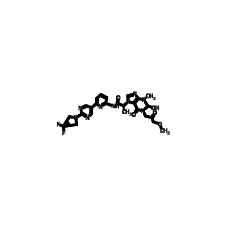 COCC(=O)CN1C(=O)c2c(ncn2[C@@H](C)C(=O)Nc2cccc(-c3cnc(N4CC5C(C4)C5(F)F)nc3)n2)N(C)C1O